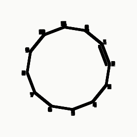 [CH]1/C=C\CCCCCCCCC1